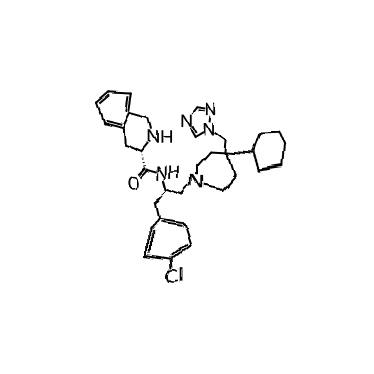 O=C(N[C@H](Cc1ccc(Cl)cc1)CN1CCC(Cn2cncn2)(C2CCCCC2)CC1)[C@@H]1Cc2ccccc2CN1